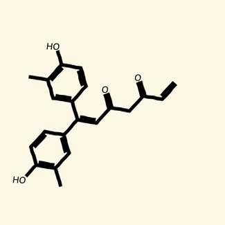 C=CC(=O)CC(=O)C=C(c1ccc(O)c(C)c1)c1ccc(O)c(C)c1